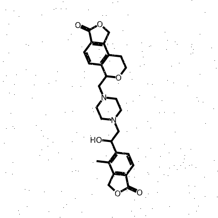 Cc1c(C(O)CN2CCN(CC3OCCc4c3ccc3c4COC3=O)CC2)ccc2c1COC2=O